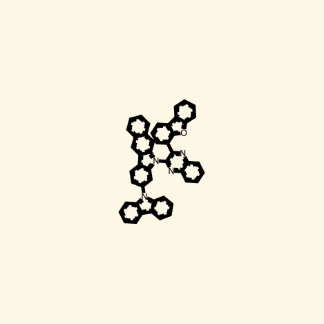 c1ccc2cc3c(cc2c1)c1ccc(-n2c4ccccc4c4ccccc42)cc1n3-c1nc2ccccc2nc1-c1cccc2c1oc1ccccc12